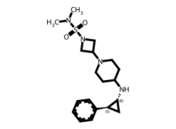 CN(C)S(=O)(=O)N1CC(N2CCC(N[C@@H]3C[C@H]3c3ccccc3)CC2)C1